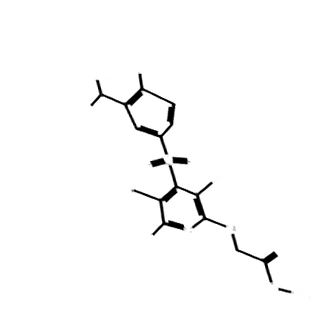 COC(=O)CNc1nc(F)c(Cl)c(S(=O)(=O)c2ccc(O)c(C(C)C)c2)c1Cl